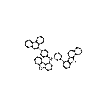 c1cc(-c2cccc3oc4c5ccccc5ccc4c23)cc(N(c2ccc(-c3cc4ccccc4c4ccccc34)cc2)c2cccc3oc4ccccc4c23)c1